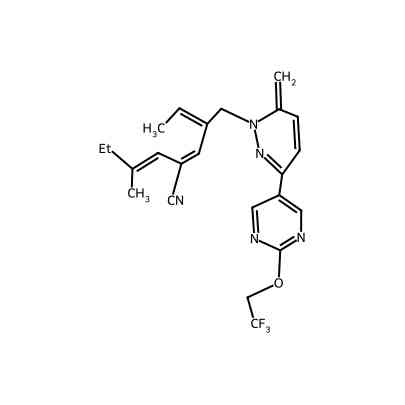 C=C1C=CC(c2cnc(OCC(F)(F)F)nc2)=NN1CC(/C=C(C#N)\C=C(/C)CC)=C/C